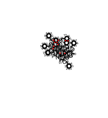 CC(=O)NC1[C@H](C)OC(CO)[C@@H](O)[C@@H]1O[C@@H]1OC(C)[C@H](OCc2ccccc2)[C@H](O[C@@H]2OC(C)[C@H](OCc3ccccc3)[C@H](OCc3ccccc3)C2O[C@@H]2OC(C)[C@H](OCc3ccccc3)[C@H](O[C@H]3O[C@@H](COCc4ccccc4)[C@@H](OCc4ccccc4)C(OCc4ccccc4)C3OCc3ccccc3)C2O)C1O